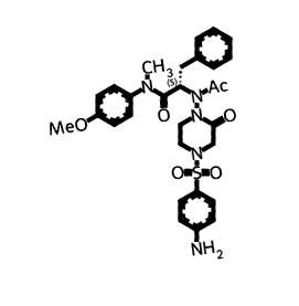 COc1ccc(N(C)C(=O)[C@H](Cc2ccccc2)N(C(C)=O)N2CCN(S(=O)(=O)c3ccc(N)cc3)CC2=O)cc1